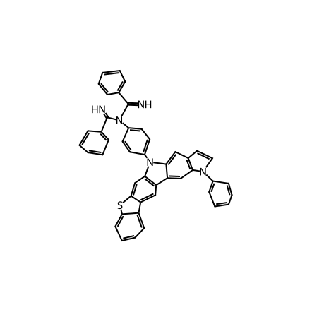 N=C(c1ccccc1)N(C(=N)c1ccccc1)c1ccc(-n2c3cc4ccn(-c5ccccc5)c4cc3c3cc4c(cc32)sc2ccccc24)cc1